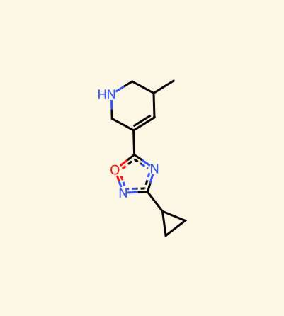 CC1C=C(c2nc(C3CC3)no2)CNC1